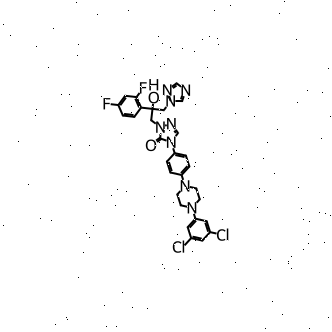 O=c1n(-c2ccc(N3CCN(c4cc(Cl)cc(Cl)c4)CC3)cc2)cnn1CC(O)(Cn1cncn1)c1ccc(F)cc1F